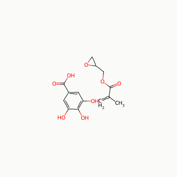 C=C(C)C(=O)OCC1CO1.O=C(O)c1cc(O)c(O)c(O)c1